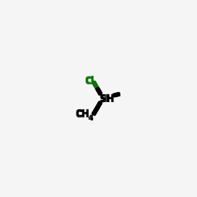 C.C[SiH](C)Cl